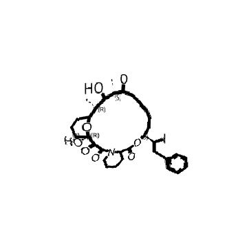 C[C@H]1C2CC[C@@H](C)[C@@](O)(O2)C(=O)C(=O)N2CCCCC2C(=O)O[C@H](C(I)Cc2ccccc2)CCCCCC(=O)[C@@H](C)C1O